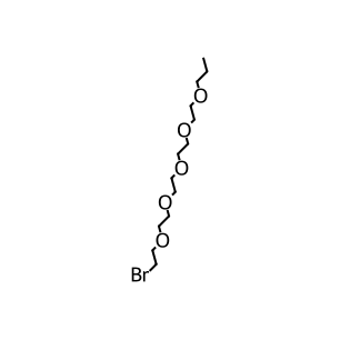 CCCOCCOCCOCCOCCOCCBr